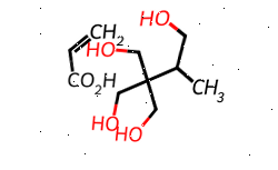 C=CC(=O)O.CC(CO)C(CO)(CO)CO